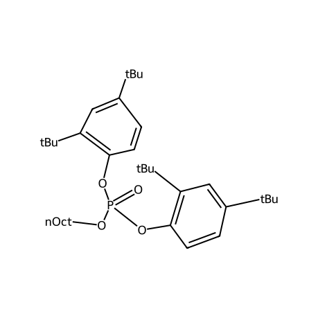 CCCCCCCCOP(=O)(Oc1ccc(C(C)(C)C)cc1C(C)(C)C)Oc1ccc(C(C)(C)C)cc1C(C)(C)C